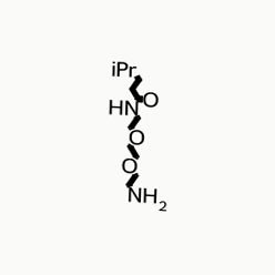 CC(C)CCC(=O)NCCOCCOCCN